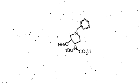 CO[C@H]1CN(Cc2ccccc2)CC[C@H]1N(C(=O)O)C(C)(C)C